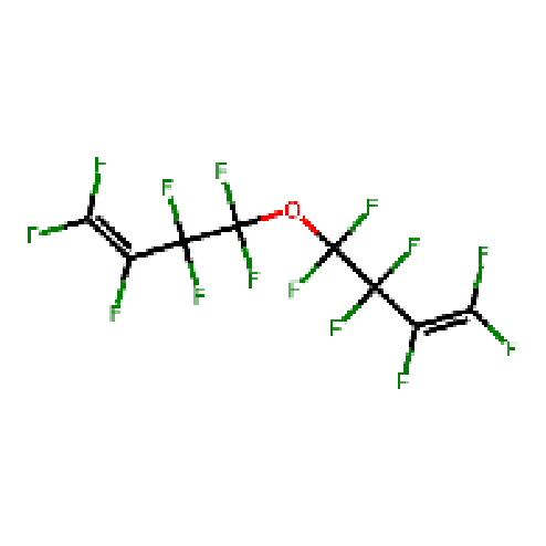 FC(F)=C(F)C(F)(F)C(F)(F)OC(F)(F)C(F)(F)C(F)=C(F)F